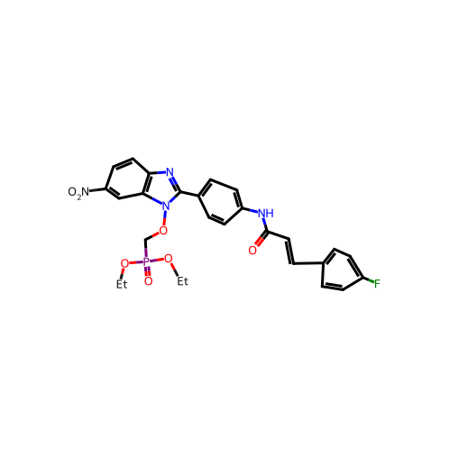 CCOP(=O)(COn1c(-c2ccc(NC(=O)/C=C/c3ccc(F)cc3)cc2)nc2ccc([N+](=O)[O-])cc21)OCC